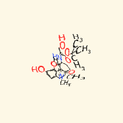 CO[C@@]12CCC(N[C@@H](CO)C(=O)OC(C)(C)C)[C@@H]3Oc4c(O)ccc5c4[C@@]31CCN(C)C2C5